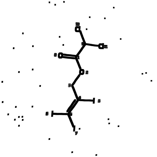 O=C(OCC(I)=C(I)I)C(Cl)Cl